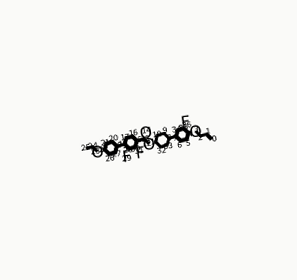 C=CCOc1ccc(C2CCC(OC(=O)c3ccc(-c4ccc(OCC)cc4)c(F)c3F)CC2)cc1F